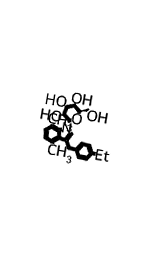 CCc1ccc(Cc2cn([C@@H]3O[C@H](CO)[C@@H](O)[C@H](O)[C@H]3O)c3c(C)ccc(C)c23)cc1